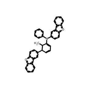 CC1C(N(c2ccccc2)c2ccc3oc4ccccc4c3c2)=CC=CC1c1ccc2oc3ccccc3c2c1